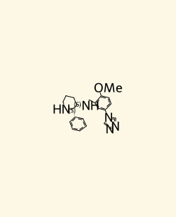 COc1ccc(-n2cnnc2)cc1CN[C@H]1CCCN[C@H]1c1ccccc1